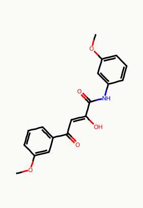 COc1cccc(NC(=O)/C(O)=C/C(=O)c2cccc(OC)c2)c1